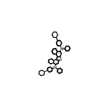 c1ccc(N(c2ccc(C3CCCCC3)cc2)c2cc3sc4cc(N(c5ccccc5)c5ccc(C6CCCCC6)cc5)c5ccccc5c4c3c3ccccc23)cc1